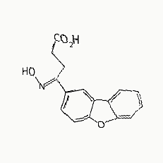 O=C(O)CCC(=NO)c1ccc2oc3ccccc3c2c1